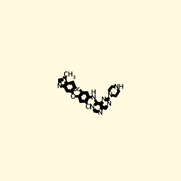 Cn1cnc2cc(Oc3cc(Cl)c(Nc4ncnc5cnc(N6CCNCC6)nc45)cc3Br)ccc21